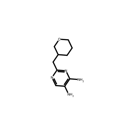 Nc1cnc(CC2CCCOC2)nc1N